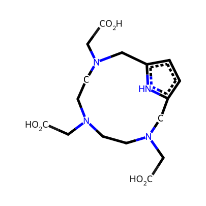 O=C(O)CN1CCN(CC(=O)O)Cc2ccc([nH]2)CN(CC(=O)O)CC1